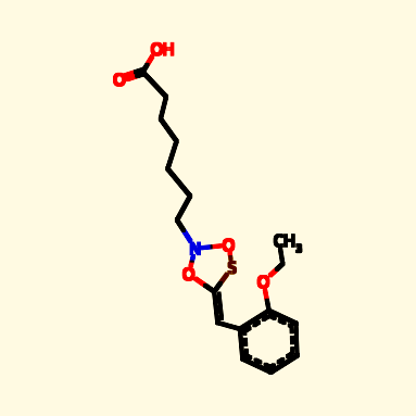 CCOc1ccccc1C=C1ON(CCCCCCC(=O)O)OS1